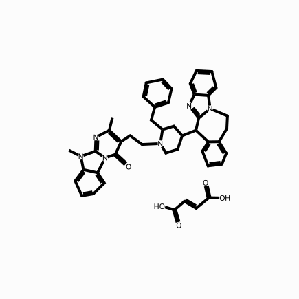 Cc1nc2n(C)c3ccccc3n2c(=O)c1CCN1CCC(C2c3ccccc3CCn3c2nc2ccccc23)CC1Cc1ccccc1.O=C(O)/C=C/C(=O)O